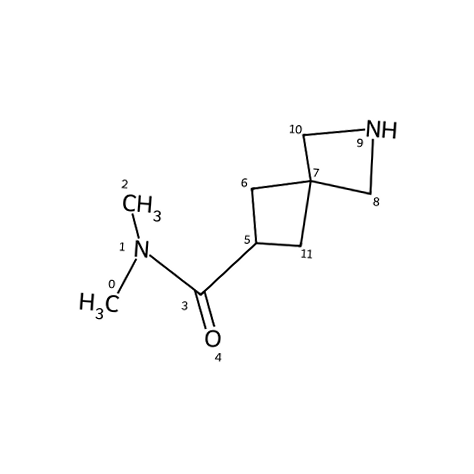 CN(C)C(=O)C1CC2(CNC2)C1